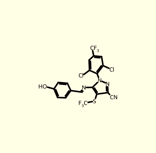 N#Cc1nn(-c2c(Cl)cc(C(F)(F)F)cc2Cl)c(N=Cc2ccc(O)cc2)c1SC(F)(F)F